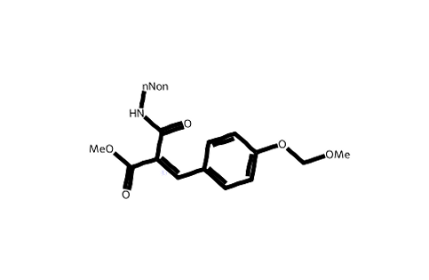 CCCCCCCCCNC(=O)/C(=C\c1ccc(OCOC)cc1)C(=O)OC